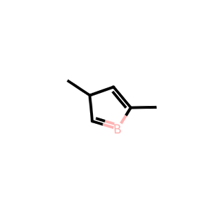 CC1=CC(C)C=B1